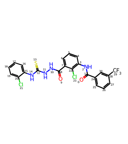 O=C(Nc1cccc(C(=O)NNC(=S)Nc2ccccc2Cl)c1Cl)c1cccc(C(F)(F)F)c1